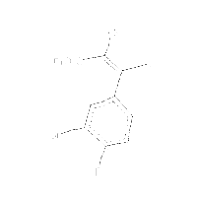 CCOC(=O)/C(C#N)=C(/C)c1ccc(F)c(Br)c1